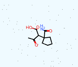 CC(=O)C(C(=O)O)C1(C(N)=O)CCCC1